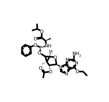 CCOc1nc(N)nc2c1ncn2[C@@H]1O[C@@H]2C(O[P@](N[C@H](C)C(=O)OC(C)C)Oc3ccccc3)[C@]2(C)[C@H]1OC(C)=O